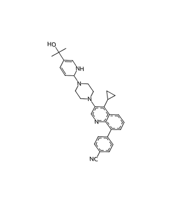 CC(C)(O)C1=CNC(N2CCN(c3cnc4c(-c5ccc(C#N)cc5)cccc4c3C3CC3)CC2)C=C1